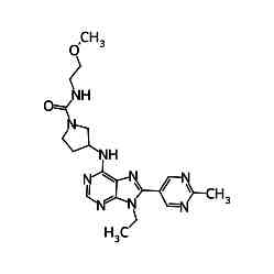 CCn1c(-c2cnc(C)nc2)nc2c(NC3CCN(C(=O)NCCOC)C3)ncnc21